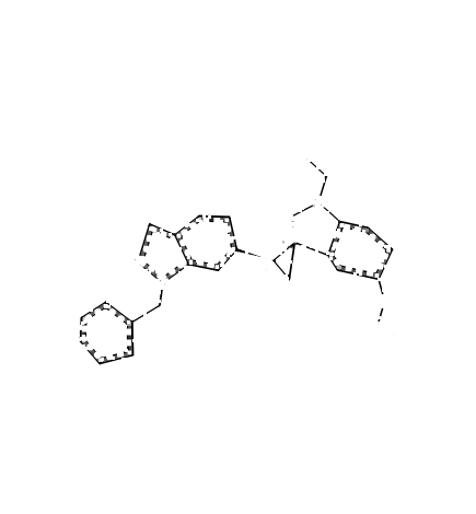 CCN1C[C@@]2(C[C@H]2c2ccc3cnn(Cc4ccccc4)c3c2)c2cc(OC)ccc21